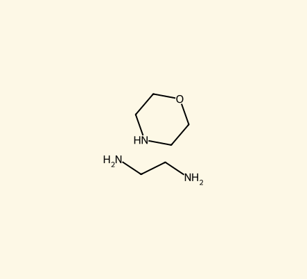 C1COCCN1.NCCN